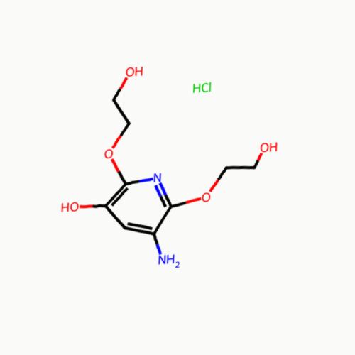 Cl.Nc1cc(O)c(OCCO)nc1OCCO